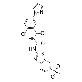 CS(=O)(=O)c1ccc2nc(NC(=O)NC(=O)c3cc(-n4cccn4)ccc3Cl)sc2c1